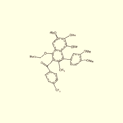 COCOc1c(C(=O)c2ccc(C(F)(F)F)cc2)c(C)c(-c2ccc(OC)c(OC)c2)c2c(OC)c(OC)c(OC)cc12